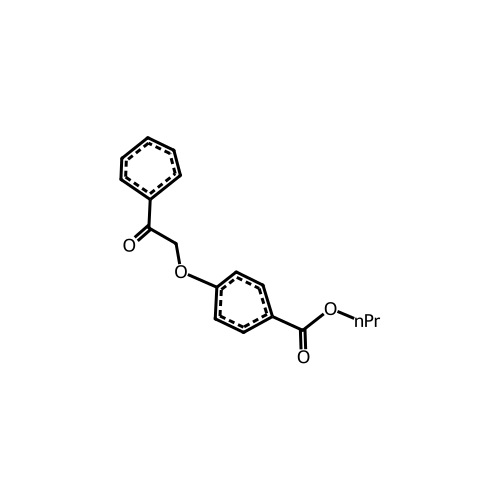 CCCOC(=O)c1ccc(OCC(=O)c2ccccc2)cc1